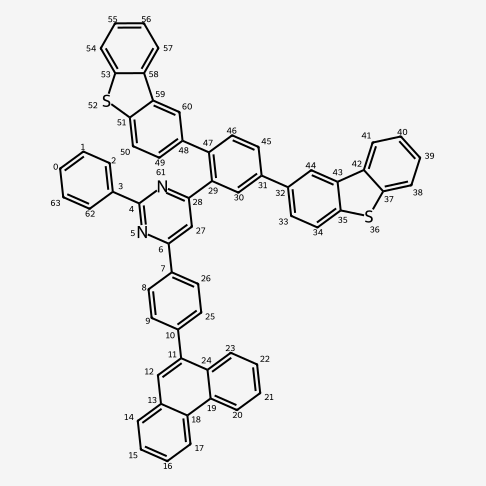 c1ccc(-c2nc(-c3ccc(-c4cc5ccccc5c5ccccc45)cc3)cc(-c3cc(-c4ccc5sc6ccccc6c5c4)ccc3-c3ccc4sc5ccccc5c4c3)n2)cc1